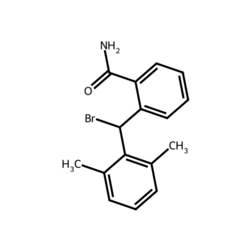 Cc1cccc(C)c1C(Br)c1ccccc1C(N)=O